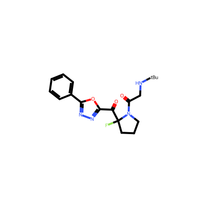 CC(C)(C)NCC(=O)N1CCCC1(F)C(=O)c1nnc(-c2ccccc2)o1